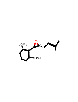 COC1CCC[C@@H](OC)C1C1O[C@@H]1CC=C(C)C